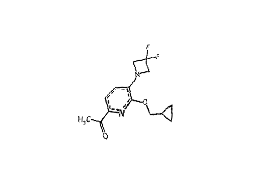 CC(=O)c1ccc(N2CC(F)(F)C2)c(OCC2CC2)n1